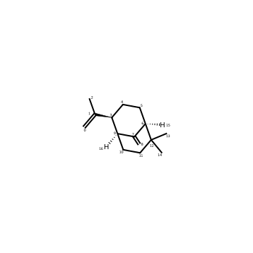 C=C(C)[C@H]1CC[C@@H]2C(=C)[C@H]1CCC2(C)C